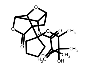 C=C(C)C(=O)OC1C2CC3(C4(OC(C)C(C)(C)O)CCCC4)C(=O)OC1C3O2